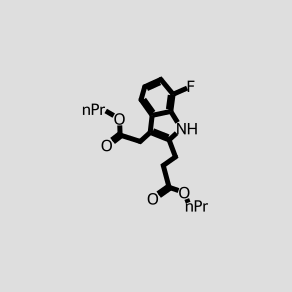 CCCOC(=O)CCc1[nH]c2c(F)cccc2c1CC(=O)OCCC